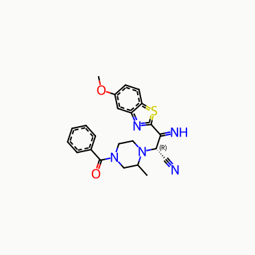 COc1ccc2sc(C(=N)[C@H](C#N)N3CCN(C(=O)c4ccccc4)CC3C)nc2c1